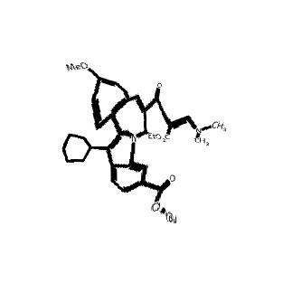 CCOC(=O)/C(=C\N(C)C)C(=O)C1=Cc2cc(OC)ccc2-c2c(C3CCCCC3)c3ccc(C(=O)OC(C)(C)C)cc3n2C1